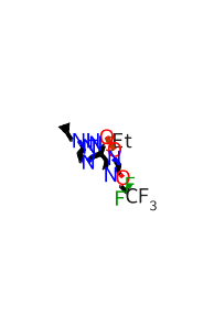 CCS(=O)(=O)c1nn2c(NCC3CC3)ccnc2c1-c1cnc(OCC(F)(F)C(F)(F)F)cn1